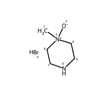 Br.C[N+]1([O-])CCNCC1